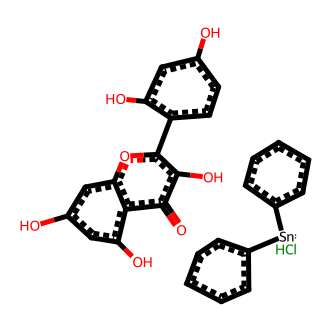 Cl.O=c1c(O)c(-c2ccc(O)cc2O)oc2cc(O)cc(O)c12.c1cc[c]([Sn][c]2ccccc2)cc1